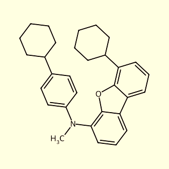 CN(c1ccc(C2CCCCC2)cc1)c1cccc2c1oc1c(C3CCCCC3)cccc12